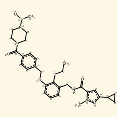 CCOc1c(CNC(=O)c2cc(C3CC3)nn2C)cccc1OCc1ccc(C(=O)N2CCN([S+](C)[O-])CC2)cc1